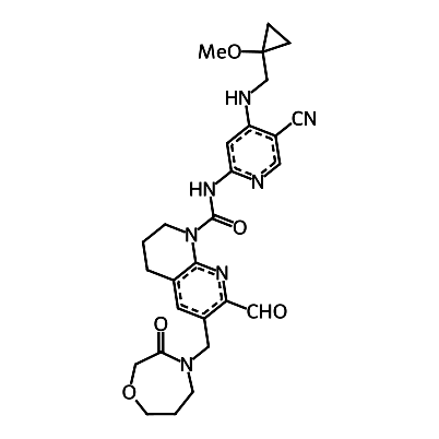 COC1(CNc2cc(NC(=O)N3CCCc4cc(CN5CCCOCC5=O)c(C=O)nc43)ncc2C#N)CC1